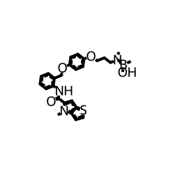 CB(O)N(C)CCCOc1ccc(OCc2ccccc2NC(=O)c2cc3sccc3n2C)cc1